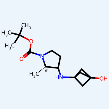 C[C@H]1C(NC23CC(O)(C2)C3)CCN1C(=O)OC(C)(C)C